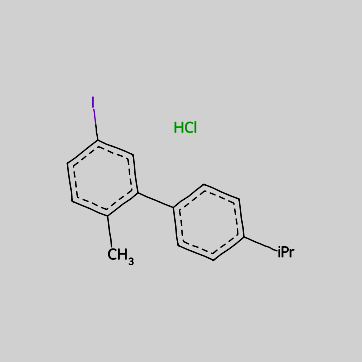 Cc1ccc(I)cc1-c1ccc(C(C)C)cc1.Cl